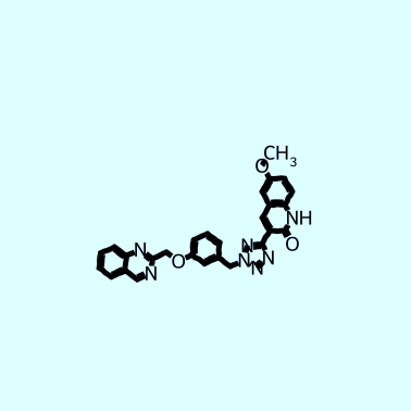 COc1ccc2[nH]c(=O)c(-c3nnn(Cc4cccc(OCc5ncc6ccccc6n5)c4)n3)cc2c1